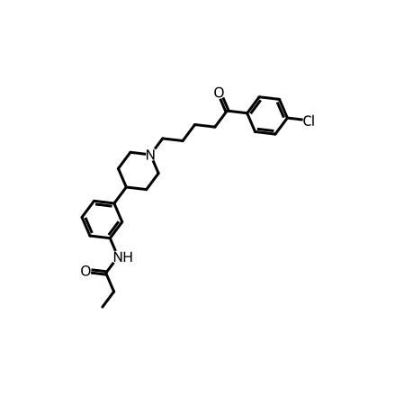 CCC(=O)Nc1cccc(C2CCN(CCCCC(=O)c3ccc(Cl)cc3)CC2)c1